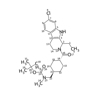 CCC1c2[nH]c3cc(Cl)ccc3c2CCN1C(=O)[C@H]1CC[C@H](CN(C)C(=O)OC(C)(C)C)CC1